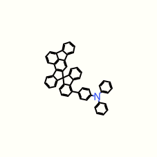 c1ccc(N(c2ccccc2)c2ccc(-c3cccc4c3-c3ccccc3C43c4ccccc4-c4c3cc3c5c(cccc45)-c4ccccc4-3)cc2)cc1